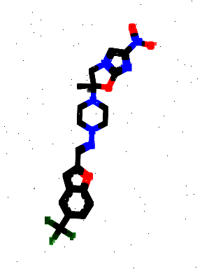 C[C@@]1(N2CCN(N=Cc3cc4cc(C(F)(F)F)ccc4o3)CC2)Cn2cc([N+](=O)[O-])nc2O1